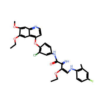 CCO/C(=C/Nc1ccc(F)cc1C)C(=N)C(=O)Nc1ccc(Oc2ccnc3cc(OC)c(OCC)cc23)c(Cl)c1